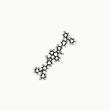 Cn1c2cc(-c3ccc(N(c4ccccc4)c4ccccc4)cc3)ccc2c2c3cccc4c3c3c(cccc3c21)c1c2ccc(-c3ccc(N(c5ccccc5)c5ccccc5)cc3)cc2n(C)c41